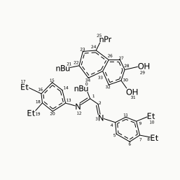 CCCCC(C=Nc1ccc(CC)c(CC)c1)=Nc1ccc(CC)c(CC)c1.CCCCc1cc(CCC)c2cc(O)c(O)cc2c1